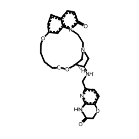 O=C1COc2ccc(CN[C@@H]3CN4CCn5c(=O)ccc6ccc(cc65)OCCCCCO[C@H]3C4)nc2N1